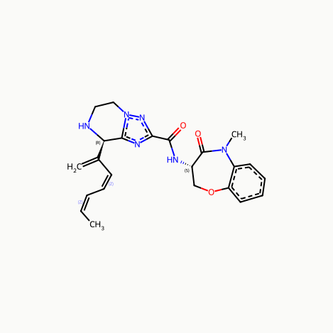 C=C(/C=C\C=C/C)[C@H]1NCCn2nc(C(=O)N[C@H]3COc4ccccc4N(C)C3=O)nc21